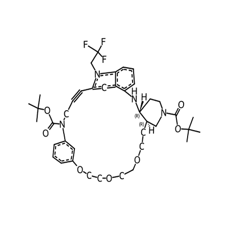 CC(C)(C)OC(=O)N1CC[C@H]2Nc3cccc4c3cc(n4CC(F)(F)F)C#CCN(C(=O)OC(C)(C)C)c3cccc(c3)OCCOCCOCC[C@@H]2C1